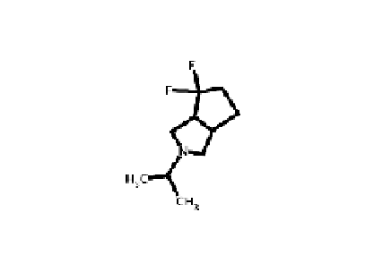 CC(C)N1CC2CCC(F)(F)C2C1